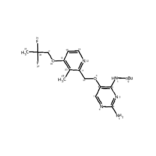 CCCCNc1nc(N)ncc1OCc1nccc(OCC(C)(F)F)c1C